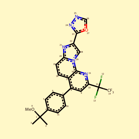 COC(C)(C)c1ccc(-c2cc(C(F)(F)C(F)(F)F)nc3c2ccc2nc(-c4nnco4)cn23)cc1